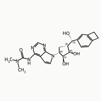 CN(C)C(=O)Nc1ncnc2c1ccn2[C@@H]1C[C@H]([C@H](O)c2ccc3c(c2)CC3)[C@@H](O)[C@H]1O